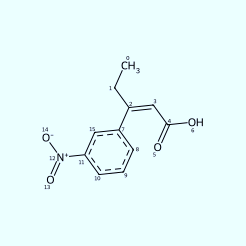 CC/C(=C/C(=O)O)c1cccc([N+](=O)[O-])c1